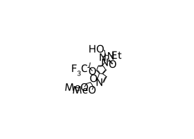 CCn1c(CO)nn(-c2cc(OC(C)C(F)(F)F)c3c(OC(COC)COC)nccc3c2)c1=O